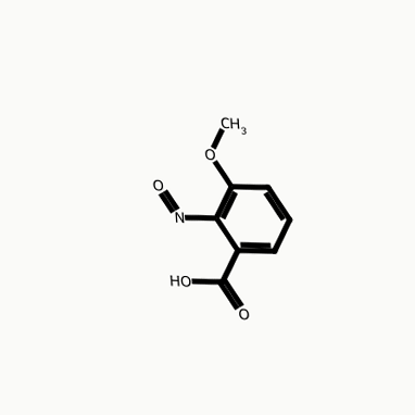 COc1cccc(C(=O)O)c1N=O